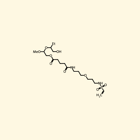 C=CS(=O)(=O)NCCCOCCCNC(=O)CCCC(=O)OCC(OC)OC(CC)CO